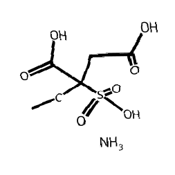 CCC(CC(=O)O)(C(=O)O)S(=O)(=O)O.N